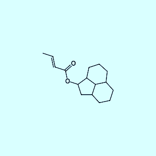 CC=CC(=O)OC1CC2CCCC3CCCC1C32